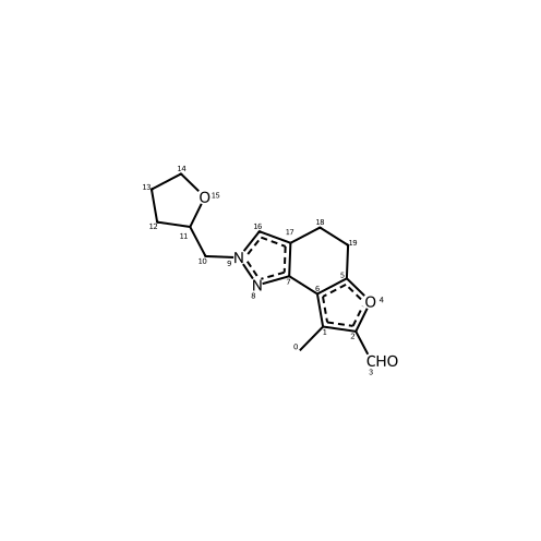 Cc1c(C=O)oc2c1-c1nn(CC3CCCO3)cc1CC2